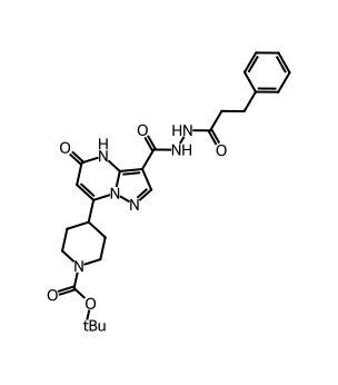 CC(C)(C)OC(=O)N1CCC(c2cc(=O)[nH]c3c(C(=O)NNC(=O)CCc4ccccc4)cnn23)CC1